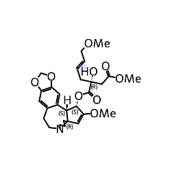 COC/C=C/C[C@@](O)(CC(=O)OC)C(=O)O[C@@H]1C(OC)=C[C@]23CCCN2CCc2cc4c(cc2[C@H]13)OCO4